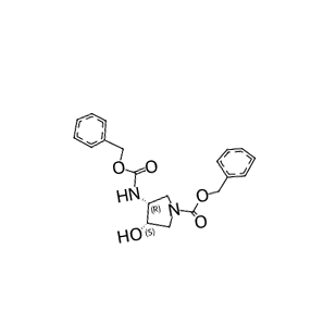 O=C(N[C@@H]1CN(C(=O)OCc2ccccc2)C[C@@H]1O)OCc1ccccc1